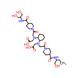 CCC(CO)NC(=O)C1CCN(C(=O)CN(CC(=O)O)C2CCCCC2N(CC(=O)O)CC(=O)N2CCC(C(=O)NC(CO)CO)CC2)CC1